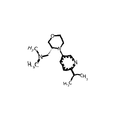 CC(C)c1ccc(N2CCOC[C@H]2CN(C)C)cn1